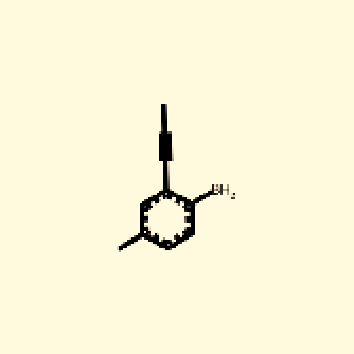 Bc1ccc(C)cc1C#CC